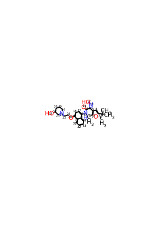 Cc1oc(C(C)(C)C)cc1/C(=N/O)C(=O)Nc1ccc(OCCN2CCCC(O)C2)c2ccccc12